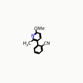 COc1ccc(-c2ccccc2C#N)c(C)n1